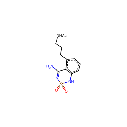 CC(=O)NCCCc1cccc2c1C(N)=NS(=O)(=O)N2